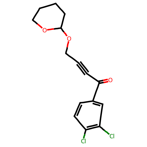 O=C(C#CCOC1CCCCO1)c1ccc(Cl)c(Cl)c1